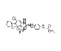 CCOC(=O)COc1ccc(CNC(=O)NC2=CC(Cl)=C(c3ccccc3)C(Cl)(OC(F)(F)F)C2)cc1